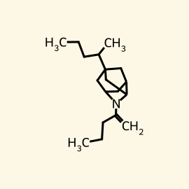 C=C(CCC)N1C2CC3CC(C(C)CCC)(C2)CC31